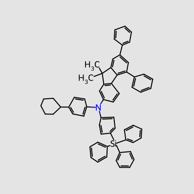 CC1(C)c2cc(N(c3ccc(C4CCCCC4)cc3)c3ccc([Si](c4ccccc4)(c4ccccc4)c4ccccc4)cc3)ccc2-c2c(-c3ccccc3)cc(-c3ccccc3)cc21